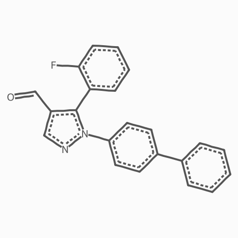 O=Cc1cnn(-c2ccc(-c3ccccc3)cc2)c1-c1ccccc1F